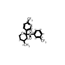 CC1CCOC(c2ccc(C(F)(F)F)nc2)(S(=O)(=O)c2cccc(C(F)(F)F)c2)C1